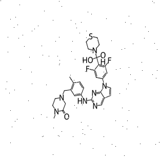 Cc1ccc(Nc2ncc3ccn(-c4cc(F)c(C(O)(O)N5CCSCC5)c(F)c4)c3n2)cc1CN1CCN(C)C(=O)C1